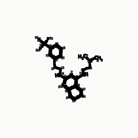 CN(C)CCNc1nc(NCCc2cccc(C(F)(F)F)c2)nc2ccccc12